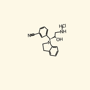 CNCC(O)[C@H](c1cccc(C#N)c1)N1CCc2ccccc21.Cl